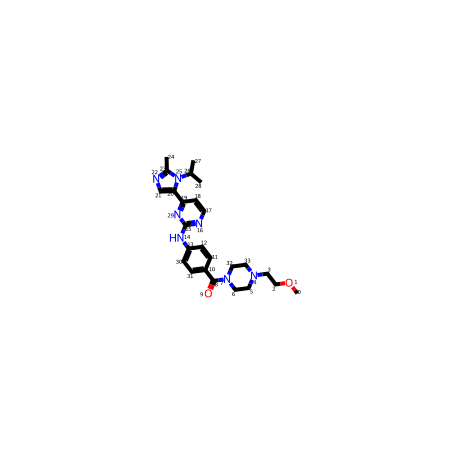 COCCN1CCN(C(=O)c2ccc(Nc3nccc(-c4cnc(C)n4C(C)C)n3)cc2)CC1